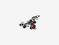 CCOC(=O)CN1CCN(c2ccc(S(=O)(=O)NCC(CNC(=O)OC(C)(C)C)O[Si](C)(C)C(C)(C)C)c(S(=O)(=O)N(Cc3ccccc3)Cc3ccccc3)c2-c2nnnn2Cc2ccc(OC)cc2)CC1